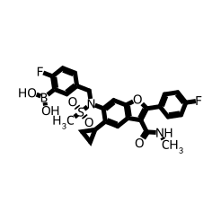 CNC(=O)c1c(-c2ccc(F)cc2)oc2cc(N(Cc3ccc(F)c(B(O)O)c3)S(C)(=O)=O)c(C3CC3)cc12